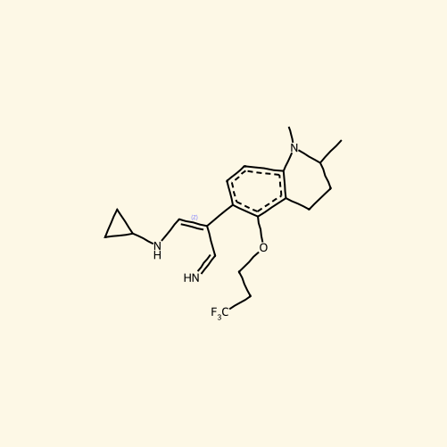 CC1CCc2c(ccc(/C(C=N)=C/NC3CC3)c2OCCC(F)(F)F)N1C